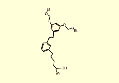 CCOCOc1cc(C=Cc2cccc(CCCCC(O)C(C)C)c2)cc(OCOCC)c1